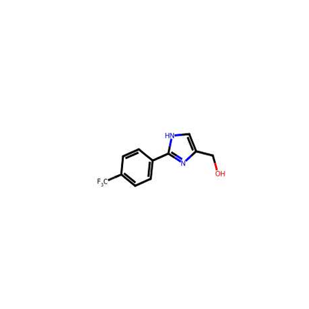 OCc1c[nH]c(-c2ccc(C(F)(F)F)cc2)n1